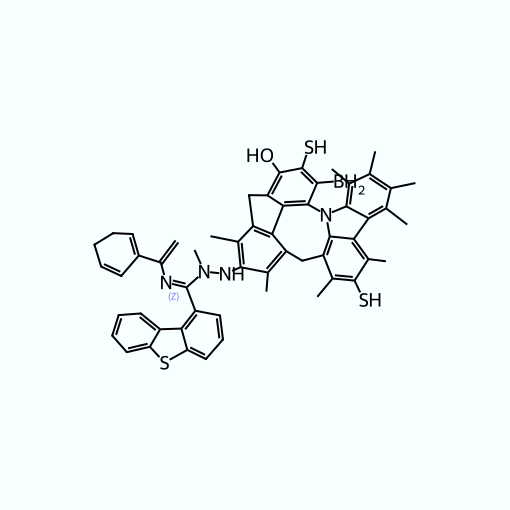 Bc1c(S)c(O)c2c3c1-n1c4c(C)c(C)c(C)c(C)c4c4c(C)c(S)c(C)c(c41)Cc1c(C)c(NN(C)/C(=N\C(=C)C4=CCCC=C4)c4cccc5sc6ccccc6c45)c(C)c(c1-3)C2